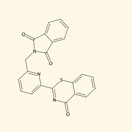 O=C1c2ccccc2C(=O)N1Cc1cccc(-c2nc(=O)c3ccccc3s2)n1